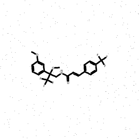 COc1cccc(C(CNC(=O)C=Cc2ccc(C(F)(F)F)cc2)(OC)C(F)(F)F)c1